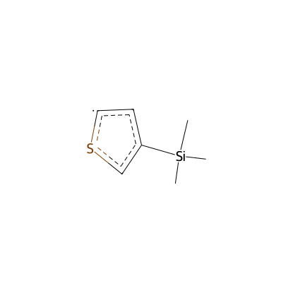 C[Si](C)(C)c1c[c]sc1